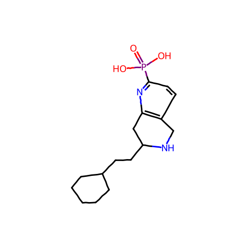 O=P(O)(O)c1ccc2c(n1)CC(CCC1CCCCC1)NC2